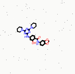 O=C(Nc1ccc2c(c1)OCO2)c1ccc(Nc2nc(N3CCCCC3)nc(N3CCCCC3)n2)cc1O